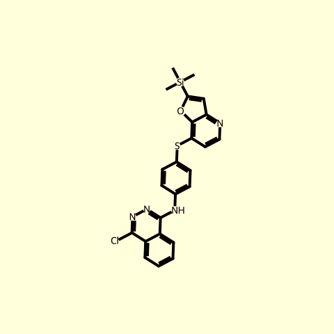 C[Si](C)(C)c1cc2nccc(Sc3ccc(Nc4nnc(Cl)c5ccccc45)cc3)c2o1